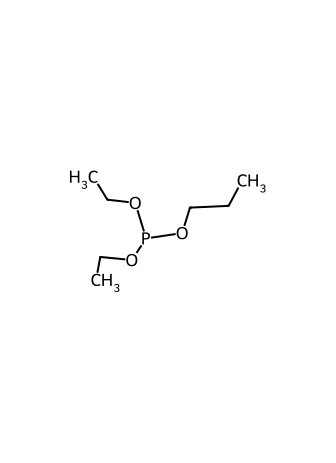 CCCOP(OCC)OCC